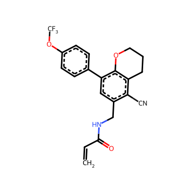 C=CC(=O)NCc1cc(-c2ccc(OC(F)(F)F)cc2)c2c(c1C#N)CCCO2